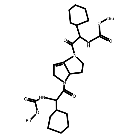 CC(C)(C)OC(=O)NC(C(=O)N1CCC2C1=CCN2C(=O)C(NC(=O)OC(C)(C)C)C1CCCCC1)C1CCCCC1